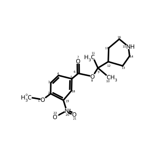 COc1ccc(C(=O)OC(C)(C)C2CCNCC2)cc1[N+](=O)[O-]